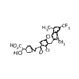 Cc1cc(C(F)(F)F)cc2c1cc(Cc1c(Cl)ccc(C(=O)N3CCC(C(O)C(=O)O)CC3)c1Cl)n2C